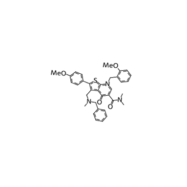 COc1ccc(-c2sc3c(c2CN(C)Cc2ccccc2)c(=O)c(C(=O)N(C)C)cn3Cc2ccccc2OC)cc1